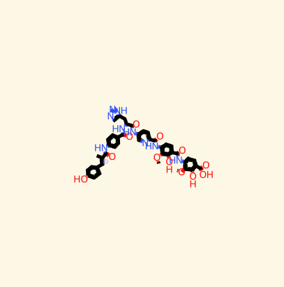 COc1c(NC(=O)c2ccc(NC(=O)c3ccc(NC(=O)C(Cc4cnn[nH]4)NC(=O)c4ccc(NC(=O)/C(C)=C/c5ccc(O)cc5)cc4)cn3)c(OC)c2O)ccc(C(=O)O)c1O